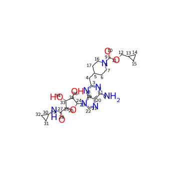 Nc1nc(CC2CCN(C(=O)OCC3CC3)CC2)nc2c1ncn2C1OC(C(=O)NC2CC2)C(O)C1O